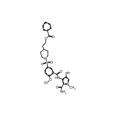 CCCc1cn(C)c(C(N)=O)c1NC(=O)c1cc(S(=O)(=O)N2CCC(CCOC(=O)c3ccccc3)CC2)ccc1OCC